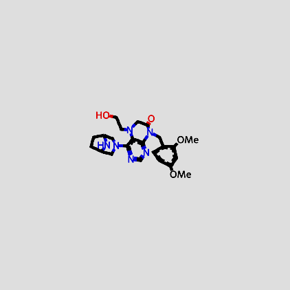 COc1ccc(CN2C(=O)CN(CCO)c3c(N4CC5CCC(C4)N5)ncnc32)c(OC)c1